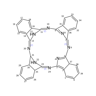 C1=CC2=C3N=C(/N=C4N=C(/N=c5\[nH]/c(c6ccccc56)=N\C5N/C(=N\3)C3C=CC=CC53)c3ccccc3\4)C2C=C1